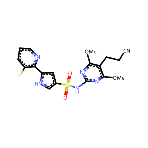 COc1nc(NS(=O)(=O)c2c[nH]c(-c3ncccc3F)c2)nc(OC)c1CCC#N